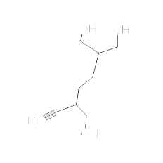 C#CC(CO)CCC(CC)CO